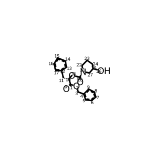 O=C(OCc1ccccc1)[C@H](Cc1ccccc1)OC(=O)N1CCCC(O)C1